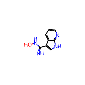 N=C(NO)c1c[nH]c2ncccc12